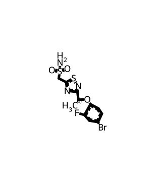 C[C@H](Oc1ccc(Br)cc1F)c1nsc(CS(N)(=O)=O)n1